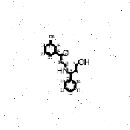 O=C(CCNC(CCO)c1ccccc1)C1=CC(=S)CC=C1